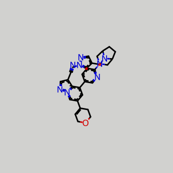 Cn1cc(CN2C3CCC2CN(c2ccc(-c4cc(C5=CCOCC5)cn5ncc(C#N)c45)cn2)C3)cn1